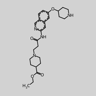 CCOC(=O)C1CCN(CCC(=O)Nc2cc3cc(OC4CCNCC4)ccc3cn2)CC1